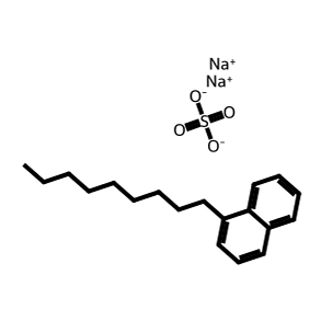 CCCCCCCCCc1cccc2ccccc12.O=S(=O)([O-])[O-].[Na+].[Na+]